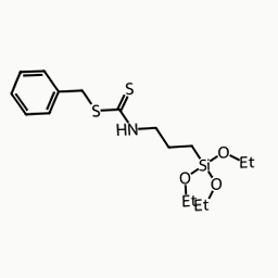 CCO[Si](CCCNC(=S)SCc1ccccc1)(OCC)OCC